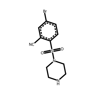 N#Cc1cc(Br)ccc1S(=O)(=O)N1CCNCC1